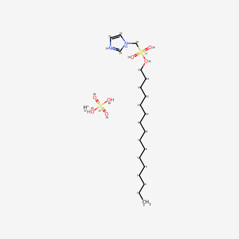 CCCCCCCCCCCCCCCCOS(=O)(=O)Cn1ccnc1.O=S(=O)(O)O.[H+]